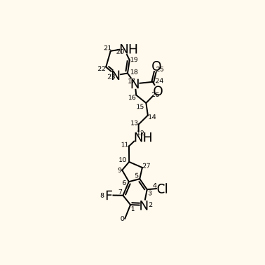 Cc1nc(Cl)c2c(c1F)CC(CNCCC1CN(C3=CNCC=N3)C(=O)O1)C2